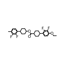 CCOc1ccc(C2CCC(C(=O)OC3CCC(c4ccc(C)c(F)c4F)CC3)CC2)c(F)c1F